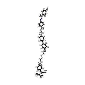 O=C(/C=C/c1ccc(OCCOc2ccc(-c3ccc(OCCCCCCOc4ccc(N5C(=O)C=CC5=O)cc4)cc3)cc2)cc1)c1ccc(F)cc1